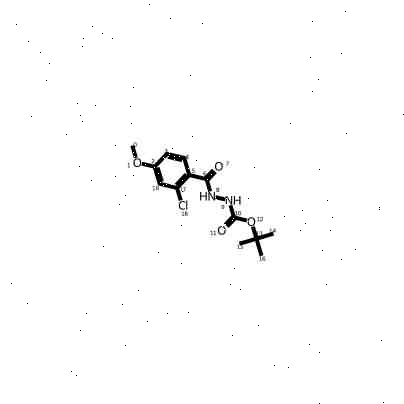 COc1ccc(C(=O)NNC(=O)OC(C)(C)C)c(Cl)c1